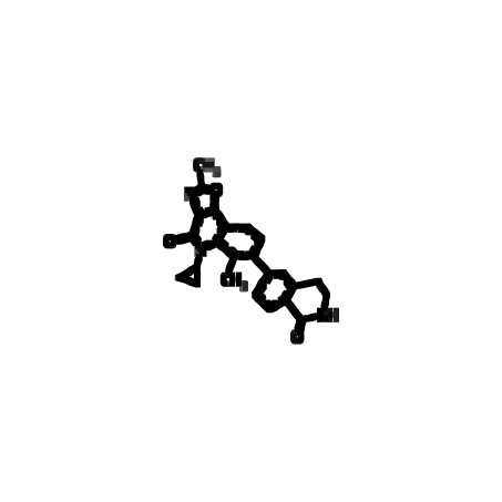 Cc1nc2c(=O)n(C3CC3)c3c(C)c(-c4ccc5c(c4)CCNC5=O)ccc3c2o1